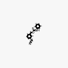 [N-]=[N+]=Nc1cccc(COC(=S)Nc2ccccc2)c1